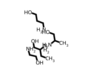 CC(N)CO.CCC(N)CO.NCCCO.NCCO